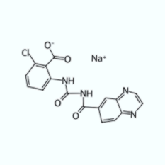 O=C(NC(=O)c1ccc2nccnc2c1)Nc1cccc(Cl)c1C(=O)[O-].[Na+]